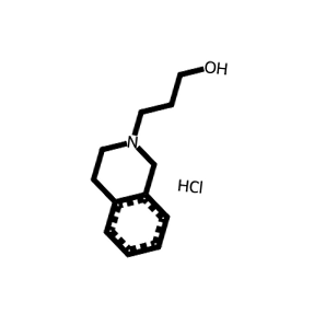 Cl.OCCCN1CCc2ccccc2C1